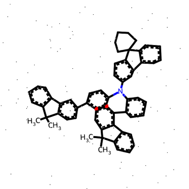 CC1(C)c2ccccc2-c2cc(-c3ccc(N(c4ccc5c(c4)-c4ccccc4C54CCCCC4)c4ccccc4-c4cccc5c4-c4ccccc4C5(C)C)cc3)ccc21